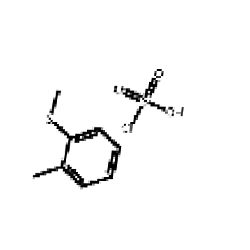 CSc1ccccc1C.O=S(=O)(O)Cl